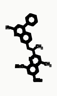 COc1cc(OC)c2nc([C@H](C)Cc3ccc4c(-c5ccccc5)cc(C(C)C)nc4c3)cc(C)c2c1